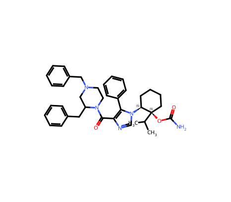 CC(C)[C@@]1(OC(N)=O)CCCC[C@@H]1n1cnc(C(=O)N2CCN(Cc3ccccc3)CC2Cc2ccccc2)c1-c1ccccc1